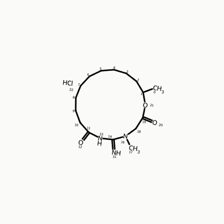 CC1CCCCCCCCCC(=O)NC(=N)N(C)CC(=O)O1.Cl